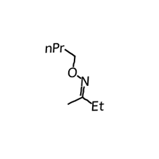 CCCCO/N=C(\C)CC